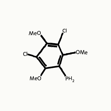 COc1c(P)c(OC)c(Cl)c(OC)c1Cl